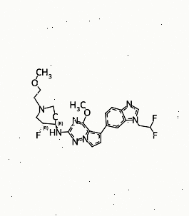 COCCN1CC[C@@H](Nc2nc(OC)c3c(-c4ccc5ncn(CC(F)F)c5c4)ccn3n2)[C@H](F)C1